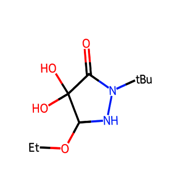 CCOC1NN(C(C)(C)C)C(=O)C1(O)O